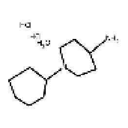 Cl.Cl.NC1CCN(C2CCCCC2)CC1.O